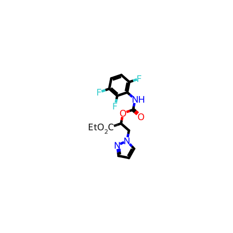 CCOC(=O)C(Cn1cccn1)OC(=O)Nc1c(F)ccc(F)c1F